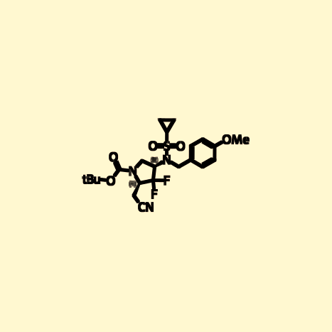 COc1ccc(CN([C@@H]2CN(C(=O)OC(C)(C)C)[C@H](CC#N)C2(F)F)S(=O)(=O)C2CC2)cc1